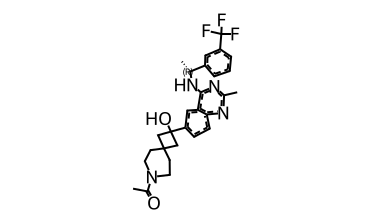 CC(=O)N1CCC2(CC1)CC(O)(c1ccc3nc(C)nc(N[C@H](C)c4cccc(C(F)(F)F)c4)c3c1)C2